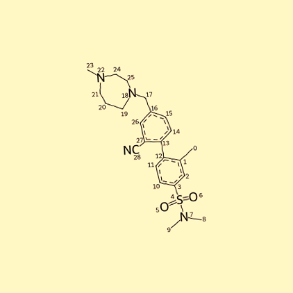 Cc1cc(S(=O)(=O)N(C)C)ccc1-c1ccc(CN2CCCN(C)CC2)cc1C#N